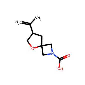 C=C(C)C1COC2(C1)CN(C(=O)O)C2